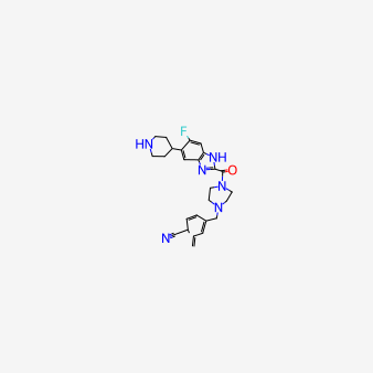 C=C/C=C(\C=C/C(C)C#N)CN1CCN(C(=O)c2nc3cc(C4CCNCC4)c(F)cc3[nH]2)CC1